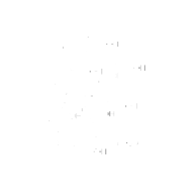 O=C([O-])C(O)C(O)C(O)C(O)CO.O=C([O-])C(O)C(O)C(O)C(O)CO.O=C([O-])C(O)C(O)C(O)C(O)CO.[Sc+3]